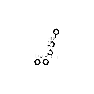 CC(C)(C)[Si](OC[C@H]1O[C@@H](n2ccc(NC(=O)c3ccccc3)nc2=O)C[C@@H]1O)(c1ccccc1)c1ccccc1